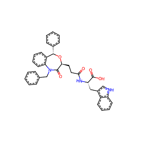 O=C(CC[C@@H]1O[C@@H](c2ccccc2)c2ccccc2N(Cc2ccccc2)C1=O)N[C@@H](Cc1c[nH]c2ccccc12)C(=O)O